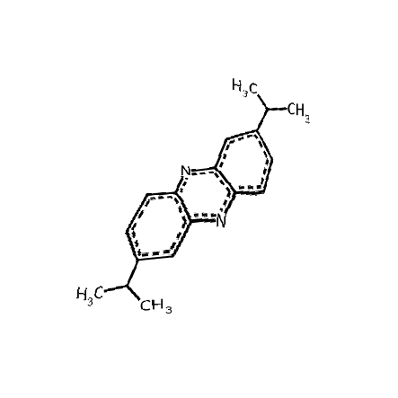 CC(C)c1ccc2nc3cc(C(C)C)ccc3nc2c1